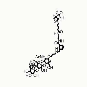 CC(=O)NC1C(OCCCNCc2cccc(C(=O)NCCNC(=O)CCCC[C@@H]3SC[C@@H]4NC(=O)N[C@@H]43)c2)OC(CO)C(OC2OC(CO)C(O)C(OC3OC(CO)C(O)C(O)C3O)C2O)C1O